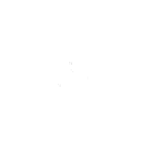 CCCC[N].[N].[N]